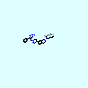 C=CCCC(C(=O)NC)N1CCc2ccc(C3CCN(Cc4c[nH]nc4-c4ccccc4)CC3)cc2C1